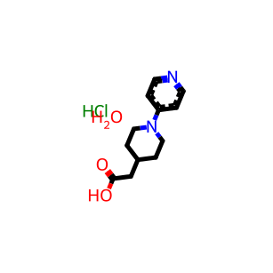 Cl.O.O=C(O)CC1CCN(c2ccncc2)CC1